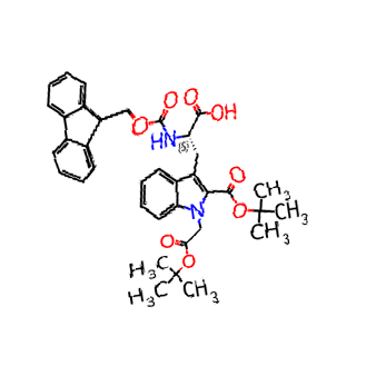 CC(C)(C)OC(=O)Cn1c(C(=O)OC(C)(C)C)c(C[C@H](NC(=O)OCC2c3ccccc3-c3ccccc32)C(=O)O)c2ccccc21